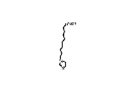 CCCCCCCCCCCCCCCCCCN1C=NCC1